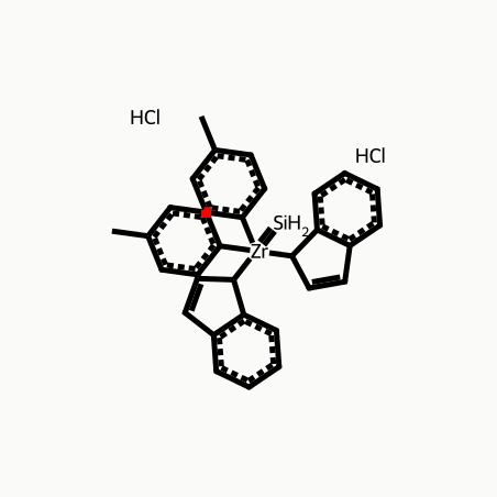 Cc1cc[c]([Zr](=[SiH2])([c]2ccc(C)cc2)([CH]2C=Cc3ccccc32)[CH]2C=Cc3ccccc32)cc1.Cl.Cl